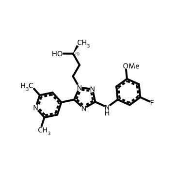 COc1cc(F)cc(Nc2nc(-c3cc(C)nc(C)c3)n(CC[C@H](C)O)n2)c1